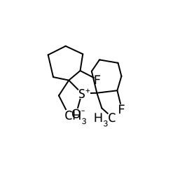 CCC1([S+]([O-])C2(CC)CCCCC2F)CCCCC1F